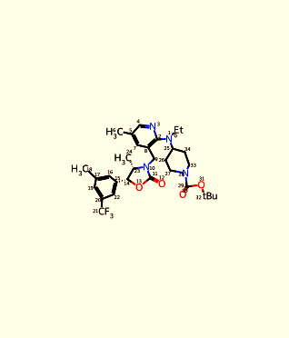 CCN(c1ncc(C)cc1CN1C(=O)O[C@H](c2cc(C)cc(C(F)(F)F)c2)[C@@H]1C)C1CCN(C(=O)OC(C)(C)C)CC1